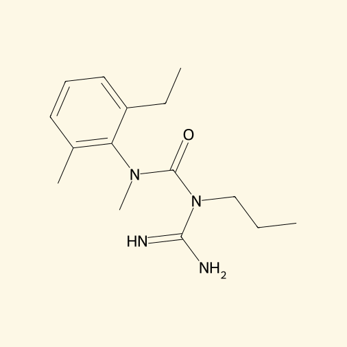 CCCN(C(=N)N)C(=O)N(C)c1c(C)cccc1CC